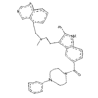 CC(C)c1[nH]c2ccc(C(=O)N3CCN(c4ccccc4)CC3)cc2c1CCN(C)Cc1cccc2ncncc12